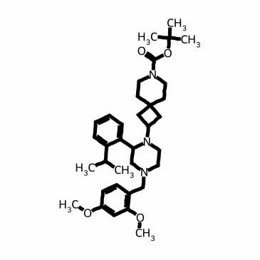 COc1ccc(CN2CCN(C3CC4(CCN(C(=O)OC(C)(C)C)CC4)C3)C(c3ccccc3C(C)C)C2)c(OC)c1